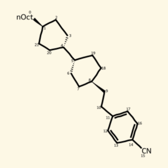 CCCCCCCC[C@H]1CC[C@H]([C@H]2CC[C@H](CCc3ccc(C#N)cc3)CC2)CC1